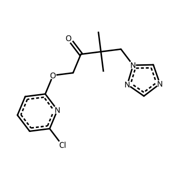 CC(C)(Cn1cncn1)C(=O)COc1cccc(Cl)n1